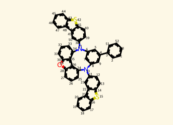 c1ccc(-c2cc3cc(c2)N(c2ccc4sc5ccccc5c4c2)c2cccc4oc5cccc(c5c24)N3c2ccc3sc4ccccc4c3c2)cc1